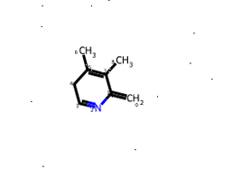 C=C1N=CCC(C)=C1C